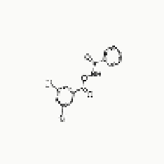 O=C(NOC(=O)c1cc(Cl)cc(Cl)c1)c1ccccc1